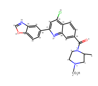 CC1CN(C(=O)O)CCN1C(=O)c1ccc2c(Cl)cc(-c3ccc4ocnc4c3)nc2c1